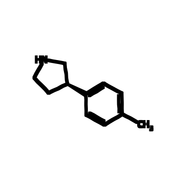 Cc1ccc([C@H]2CCNC2)cc1